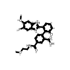 COCCNC(=O)c1ccc(-c2c(Cl)cccc2-c2nc3cc(F)c(OC)cc3[nH]2)c(C(=O)O)c1